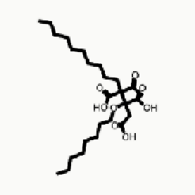 CCCCCCCCCCC(C(C)=O)(C(=O)O)C(CC(=O)O)(OCCCCCCCC)C(=O)O